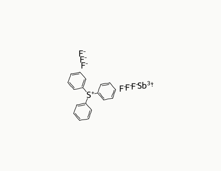 [F-].[F-].[F-].[F-].[F-].[F-].[Sb+3].c1ccc([S+](c2ccccc2)c2ccccc2)cc1